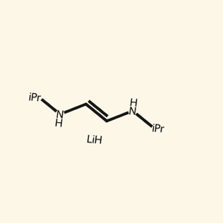 CC(C)N/C=C/NC(C)C.[LiH]